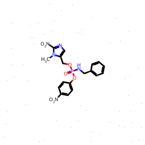 Cn1c(COP(=O)(NCc2ccccc2)Oc2ccc([N+](=O)[O-])cc2)cnc1[N+](=O)[O-]